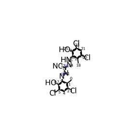 Cc1c(Cl)cc(Cl)c(O)c1/N=N/C(C#N)=N/Nc1c(C)c(Cl)cc(Cl)c1O